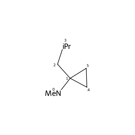 CNC1(CC(C)C)CC1